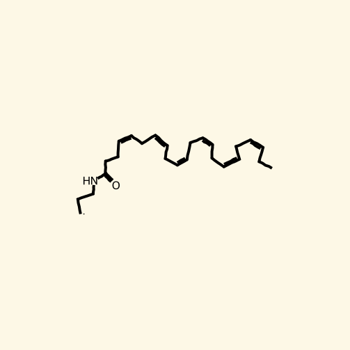 [CH2]CCNC(=O)CC/C=C\C/C=C\C/C=C\C/C=C\C/C=C\C/C=C\CC